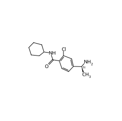 C[C@H](N)c1ccc(C(=O)NC2CCCCC2)c(Cl)c1